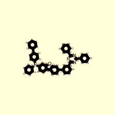 c1ccc(-c2ccc(N(c3ccccc3)c3ccc4c(c3)oc3cc(-c5cccc(-c6nc(-c7ccccc7)nc(-c7ccccc7)n6)c5)ccc34)cc2)cc1